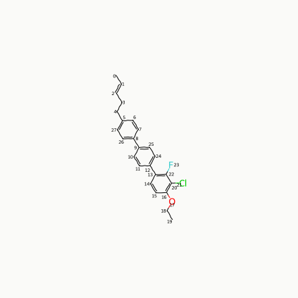 C/C=C/CCc1ccc(-c2ccc(-c3ccc(OCC)c(Cl)c3F)cc2)cc1